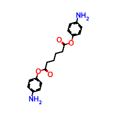 Nc1ccc(OC(=O)CCCCC(=O)Oc2ccc(N)cc2)cc1